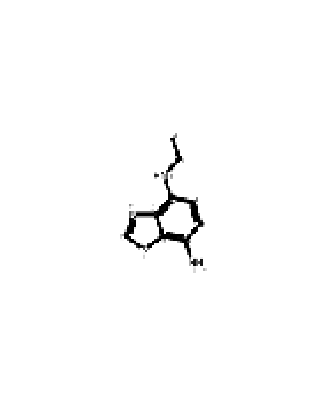 CCNc1ccc(N)c2scnc12